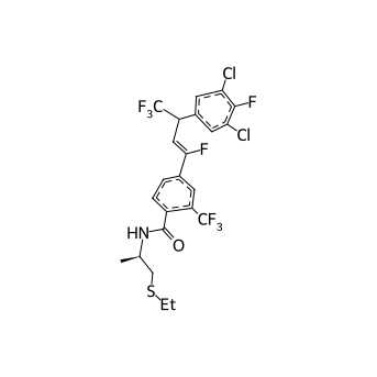 CCSC[C@@H](C)NC(=O)c1ccc(/C(F)=C/C(c2cc(Cl)c(F)c(Cl)c2)C(F)(F)F)cc1C(F)(F)F